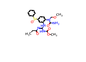 CCC(=O)N=C(NC(=O)OC)Nc1cc([S+]([O-])c2ccccc2)ccc1N(COC)C(N)=O